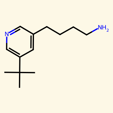 CC(C)(C)c1cncc(CCCCN)c1